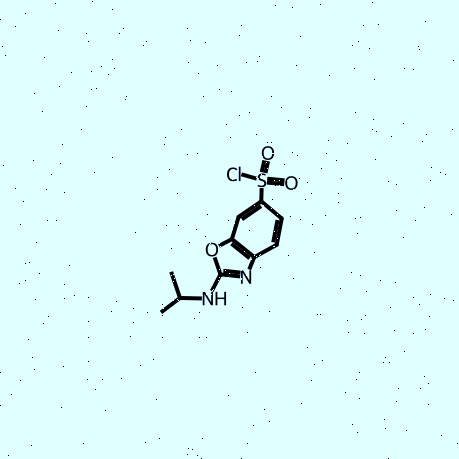 CC(C)Nc1nc2ccc(S(=O)(=O)Cl)cc2o1